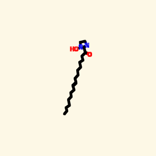 CCCCCCCCC=CCCCCCCCC(=O)C1=NCCN1O